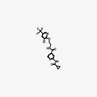 O=C(NCCOc1ncc(C(F)(F)F)cc1Cl)c1ccnc(NC(=O)C2CC2)c1